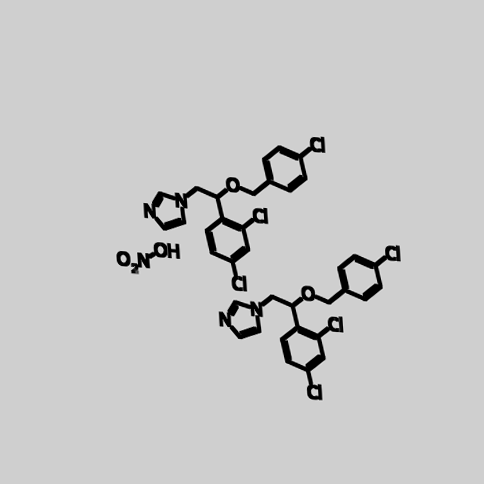 Clc1ccc(COC(Cn2ccnc2)c2ccc(Cl)cc2Cl)cc1.Clc1ccc(COC(Cn2ccnc2)c2ccc(Cl)cc2Cl)cc1.O=[N+]([O-])O